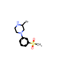 CC(C)C1CN(c2cccc(S(C)(=O)=O)c2)CCN1